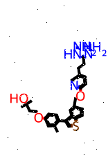 Cc1cc(OCCC(C)(C)O)ccc1-c1csc2ccc(COc3ccc(CC/C(=N/N)NN)cn3)cc12